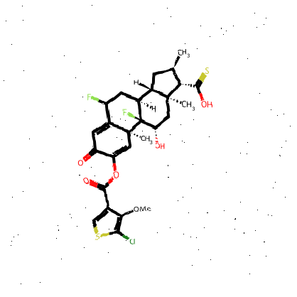 COc1c(C(=O)OC2=C[C@@]3(C)C(=CC2=O)C(F)C[C@H]2[C@@H]4C[C@@H](C)[C@H](C(O)=S)[C@@]4(C)C[C@H](O)[C@@]23F)csc1Cl